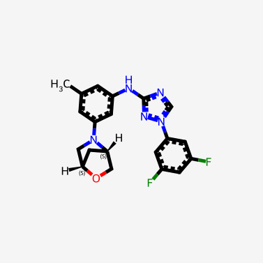 Cc1cc(Nc2ncn(-c3cc(F)cc(F)c3)n2)cc(N2C[C@@H]3C[C@H]2CO3)c1